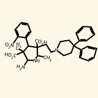 CC1NC(N)C(C)(C(=O)O)C(c2ccccc2[N+](=O)[O-])C1(CCN1CCC(c2ccccc2)(c2ccccc2)CC1)C(=O)O